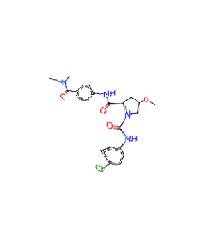 CO[C@@H]1C[C@H](C(=O)Nc2ccc(C(=O)N(C)C)cc2)N(C(=O)Nc2ccc(Cl)cc2)C1